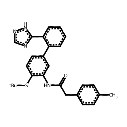 Cc1ccc(CC(=O)Nc2cc(-c3ccccc3-c3ncn[nH]3)ccc2SC(C)(C)C)cc1